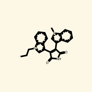 [CH2]CCn1cc(C2=C(c3cn(C)c4ccccc34)C(=O)NC2=O)c2ccccc21